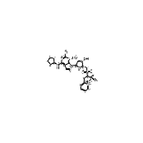 O=P(O)(O)C(Cc1ncccn1)S(=O)(=O)C[C@H]1O[C@@H](n2ncc3c(NC4CCCC4)nc(Cl)nc32)[C@H](O)[C@@H]1O